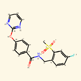 CS(=O)(=O)c1cc(F)ccc1CNC(=O)c1ccc(Oc2ncccn2)cc1